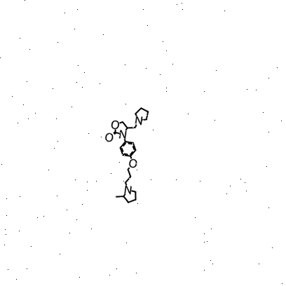 CC1CCCN1CCCOc1ccc(N2C(=O)OCC2CN2CCCC2)cc1